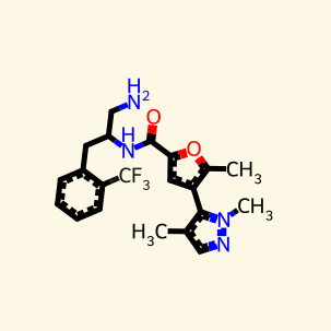 Cc1cnn(C)c1-c1cc(C(=O)NC(CN)Cc2ccccc2C(F)(F)F)oc1C